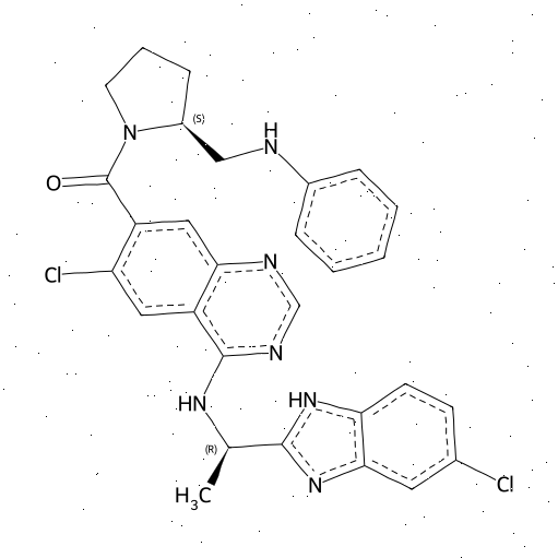 C[C@@H](Nc1ncnc2cc(C(=O)N3CCC[C@H]3CNc3ccccc3)c(Cl)cc12)c1nc2cc(Cl)ccc2[nH]1